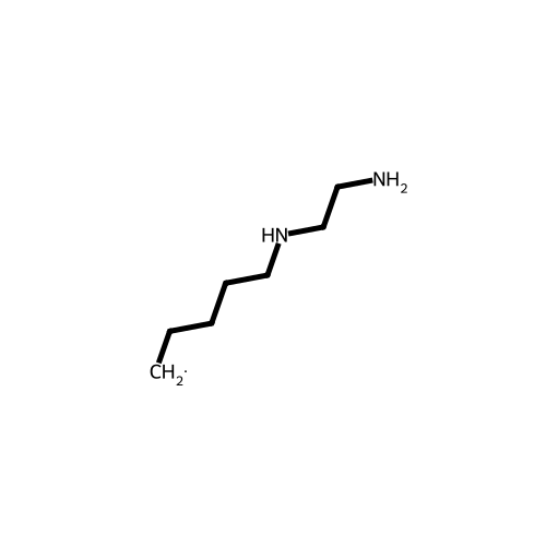 [CH2]CCCCNCCN